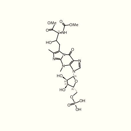 COC(=O)N[C@H](C(=O)OC)C(O)Cc1c(C)nc2n(C)c3c(ncn3[C@@H]3O[C@H](COP(=O)(O)O)[C@@H](O)[C@H]3O)c(=O)n12